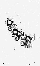 COc1ccc(Cn2ncc3cc(S(=O)(=O)c4ccccc4)ccc3c2=O)c(C(=O)O)n1